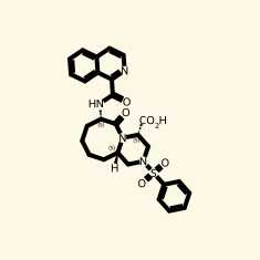 O=C(N[C@H]1CCCC[C@H]2CN(S(=O)(=O)c3ccccc3)C[C@@H](C(=O)O)N2C1=O)c1nccc2ccccc12